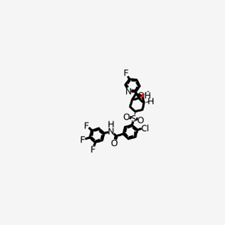 C[C@H]1CC2C[C@@H](S(=O)(=O)c3cc(C(=O)Nc4cc(F)c(F)c(F)c4)ccc3Cl)C[C@H]1[C@@]2(O)c1ccc(F)cn1